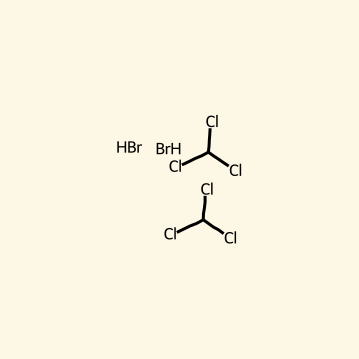 Br.Br.ClC(Cl)Cl.ClC(Cl)Cl